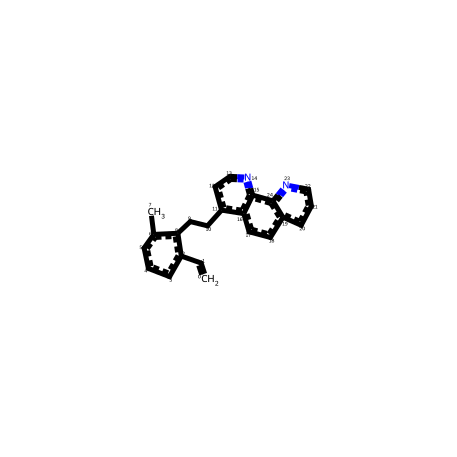 C=Cc1cccc(C)c1CCc1ccnc2c1ccc1cccnc12